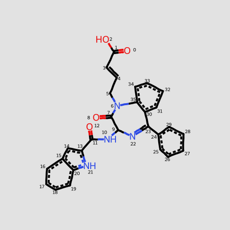 O=C(O)C=CCN1C(=O)C(NC(=O)c2cc3ccccc3[nH]2)N=C(c2ccccc2)c2ccccc21